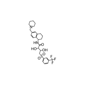 O=C(NC1CCCc2cc(CN3CCCCC3)ccc21)C(O)C(O)CS(=O)(=O)c1cccc(C(F)(F)F)c1